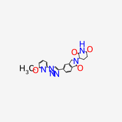 COc1cccc(-n2cc(-c3ccc4c(c3)CN(C3CCC(=O)NC3=O)C4=O)nn2)n1